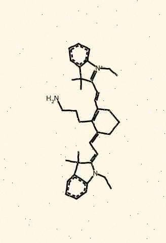 CCN1/C(=C/C=C2\CCCC(/C=C/C3=[N+](CC)c4ccccc4C3(C)C)=C2CCCN)C(C)(C)c2ccccc21